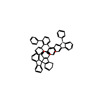 C1=CC2=C(CC1)c1cc(N(c3ccc4c5ccccc5n(-c5ccccc5)c4c3)c3cccc(-c4ccccc4)c3-c3ccccc3-c3ccccc3)ccc1C21c2ccccc2-c2ccccc21